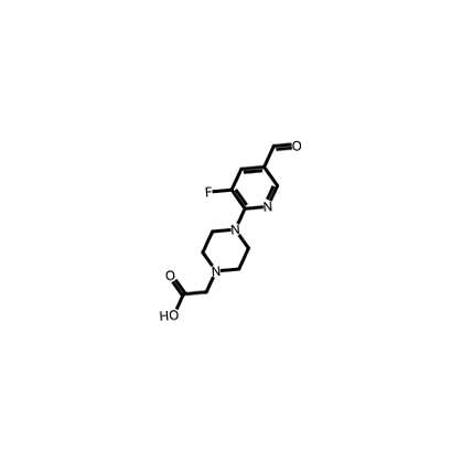 O=Cc1cnc(N2CCN(CC(=O)O)CC2)c(F)c1